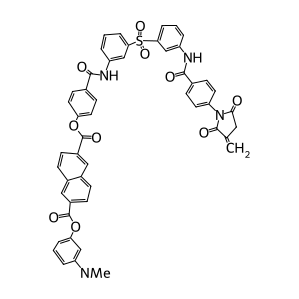 C=C1CC(=O)N(c2ccc(C(=O)Nc3cccc(S(=O)(=O)c4cccc(NC(=O)c5ccc(OC(=O)c6ccc7cc(C(=O)Oc8cccc(NC)c8)ccc7c6)cc5)c4)c3)cc2)C1=O